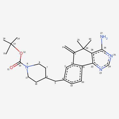 C=C1c2cc(CC3CCN(C(=O)OC(C)(C)C)CC3)ccc2-c2ncnc(N)c2C1(C)C